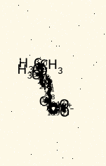 CC(C)(C)OC(=O)N1CCN(CCCC(=O)c2cccc([N+](=O)[O-])c2)CC1